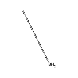 BC#CC#CC#CC#CC#CC#CC#C